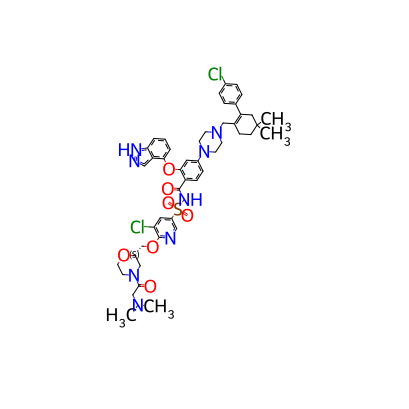 CN(C)CC(=O)N1CCO[C@H](COc2ncc(S(=O)(=O)NC(=O)c3ccc(N4CCN(CC5=C(c6ccc(Cl)cc6)CC(C)(C)CC5)CC4)cc3Oc3cccc4[nH]ncc34)cc2Cl)C1